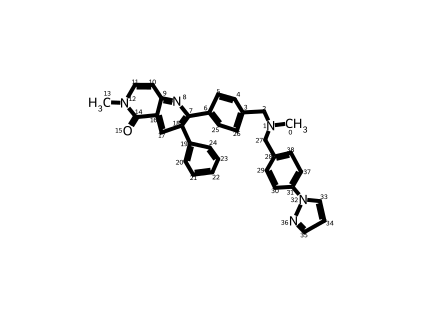 CN(Cc1ccc(-c2nc3ccn(C)c(=O)c3cc2-c2ccccc2)cc1)Cc1ccc(-n2cccn2)cc1